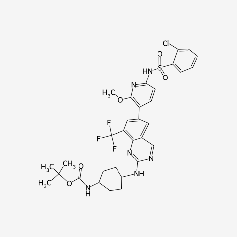 COc1nc(NS(=O)(=O)c2ccccc2Cl)ccc1-c1cc(C(F)(F)F)c2nc(NC3CCC(NC(=O)OC(C)(C)C)CC3)ncc2c1